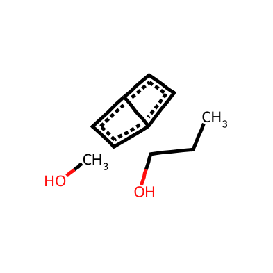 CCCO.CO.c1cc2ccc1-2